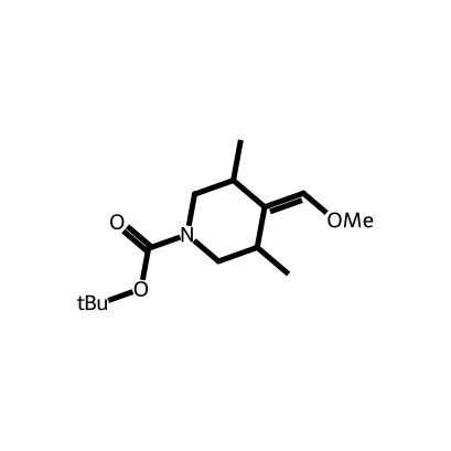 COC=C1C(C)CN(C(=O)OC(C)(C)C)CC1C